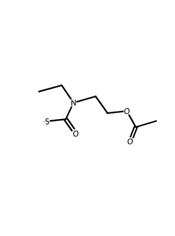 CCN(CCOC(C)=O)C(=O)[S]